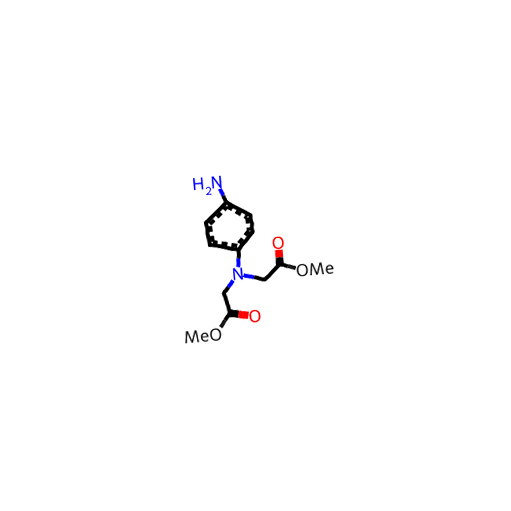 COC(=O)CN(CC(=O)OC)c1ccc(N)cc1